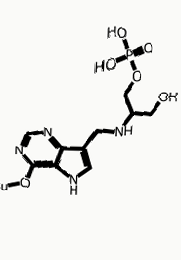 CCCCOc1ncnc2c(CNC(CO)COP(=O)(O)O)c[nH]c12